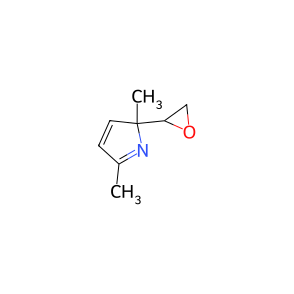 CC1=NC(C)(C2CO2)C=C1